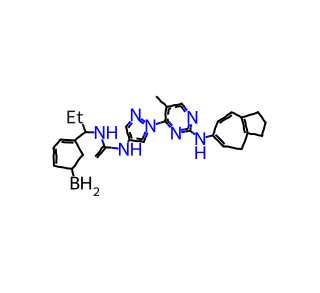 BC1C=CC=C(C(CC)NC(=C)Nc2cnn(-c3nc(NC4=CCC5=C(C=C4)CCC5)ncc3C)c2)C1